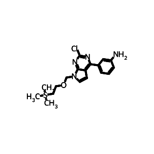 CS(C)(C)CCOCn1ccc2c(-c3cccc(N)c3)nc(Cl)nc21